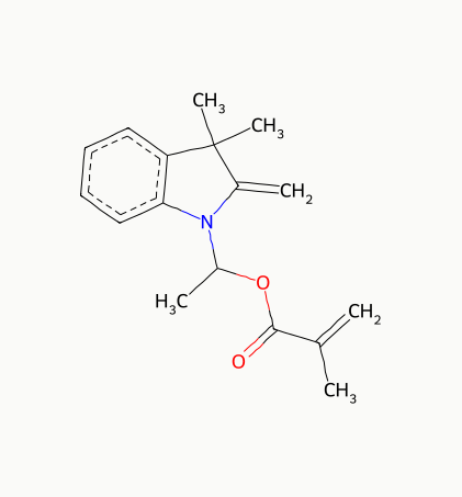 C=C(C)C(=O)OC(C)N1C(=C)C(C)(C)c2ccccc21